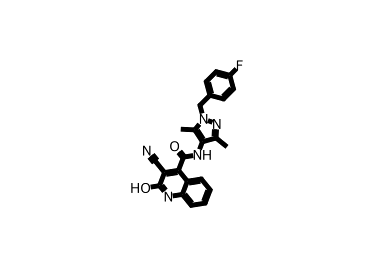 Cc1nn(Cc2ccc(F)cc2)c(C)c1NC(=O)c1c(C#N)c(O)nc2ccccc12